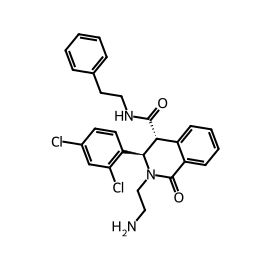 NCCN1C(=O)c2ccccc2[C@@H](C(=O)NCCc2ccccc2)[C@@H]1c1ccc(Cl)cc1Cl